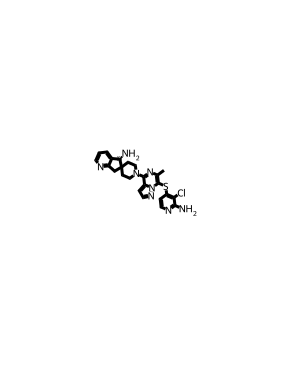 Cc1nc(N2CCC3(CC2)Cc2ncccc2[C@H]3N)c2ccnn2c1Sc1ccnc(N)c1Cl